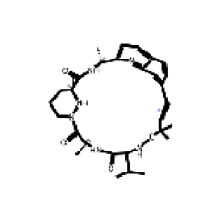 CC(C)C1NCC(C)(C)/C=C/c2ccc3ccc(nc3c2)[C@@H](C)NC(=O)[C@@H]2CCCN(N2)C(=O)[C@H](C)NC1=O